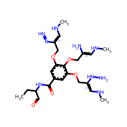 CCC(C=O)NC(=O)c1cc(OC/C(=C/NC)N=N)c(OC/C(N)=C/NC)c(OC/C(=C/NC)NN)c1